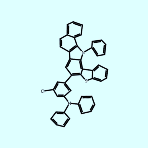 Clc1cc(-c2cc3c4ccc5ccccc5c4n(-c4ccccc4)c3c3c2sc2ccccc23)cc(N(c2ccccc2)c2ccccc2)c1